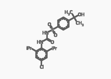 CC(C)c1cc(Cl)cc(C(C)C)c1NC(=O)NS(=O)(=O)c1ccc(C(C)(C)O)cc1